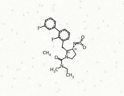 C.CCN(C)C(=O)N1CC[C@H](N=S(=O)=O)[C@@H]1Cc1cccc(-c2cccc(F)c2)c1F